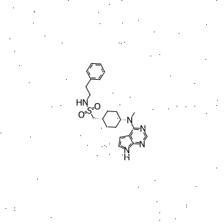 CN(c1ncnc2[nH]ccc12)[C@H]1CC[C@@H](CS(=O)(=O)NCCc2ccccc2)CC1